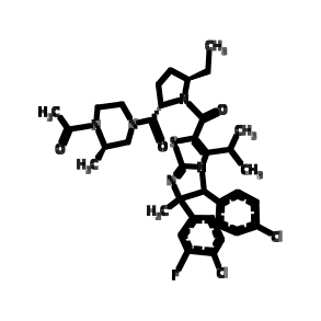 CC[C@@H]1CC[C@@H](C(=O)N2CCN(C(C)=O)[C@H](C)C2)N1C(=O)C1=C(C(C)C)N2C(=NC(C)(c3ccc(Cl)c(F)c3)C2c2ccc(Cl)cc2)S1